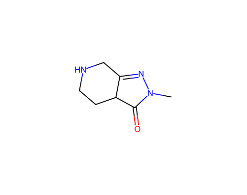 CN1N=C2CNCCC2C1=O